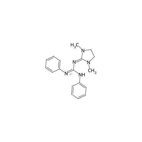 CN1CCN(C)C1=N/C(=N\c1ccccc1)Nc1ccccc1